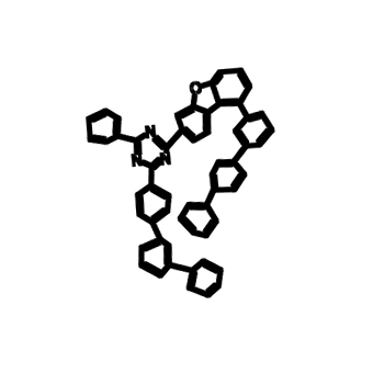 c1ccc(-c2ccc(-c3cccc(-c4cccc5oc6cc(-c7nc(-c8ccccc8)nc(-c8ccc(-c9cccc(-c%10ccccc%10)c9)cc8)n7)ccc6c45)c3)cc2)cc1